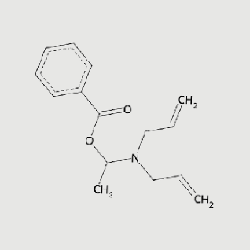 C=CCN(CC=C)C(C)OC(=O)c1ccccc1